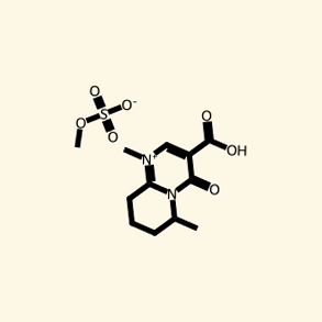 CC1CCCc2n1c(=O)c(C(=O)O)c[n+]2C.COS(=O)(=O)[O-]